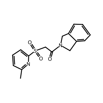 Cc1cccc(S(=O)(=O)CC(=O)N2Cc3ccccc3C2)n1